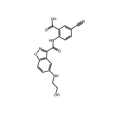 N#Cc1ccc(NC(=O)c2noc3ccc(NCCO)cc23)c(C(=O)O)c1